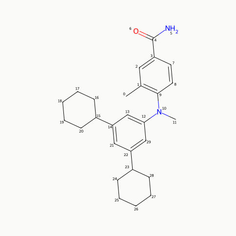 Cc1cc(C(N)=O)ccc1N(C)c1cc(C2CCCCC2)cc(C2CCCCC2)c1